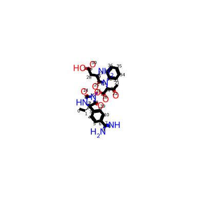 CC[C@]1(c2ccc(C(=N)N)cc2)NC(=O)N(OC(=O)[C@H](C(C)=O)N(C(=O)[C@@H](N)CC(=O)O)c2ccccc2)C1=O